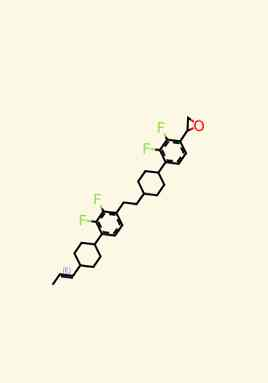 C/C=C/C1CCC(c2ccc(CCC3CCC(c4ccc(C5CO5)c(F)c4F)CC3)c(F)c2F)CC1